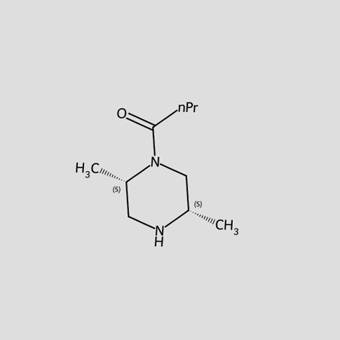 CCCC(=O)N1C[C@H](C)NC[C@@H]1C